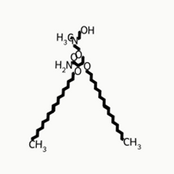 CCCCCCCCC=CCCCCCCCCOC(COCCN(C)CCO)C(OCCCCCCCCC=CCCCCCCCC)C(N)=O